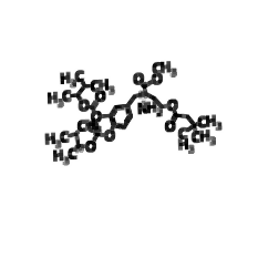 COC(=O)[C@@](N)(CCOC(=O)CC(C)(C)C)Cc1ccc(OC(=O)O[C@@H](C)C(C)C)c(OC(=O)OC(C)C(C)C)c1